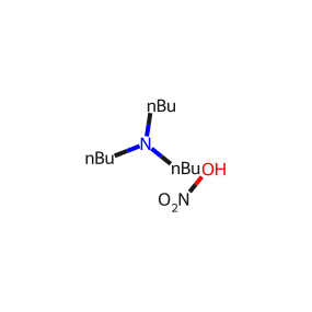 CCCCN(CCCC)CCCC.O=[N+]([O-])O